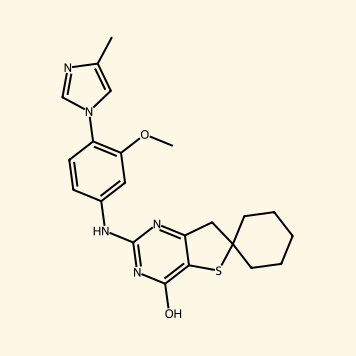 COc1cc(Nc2nc(O)c3c(n2)CC2(CCCCC2)S3)ccc1-n1cnc(C)c1